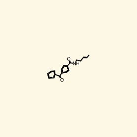 CC=CCCNC(=O)c1ccc(C(=O)c2ccccc2)cc1